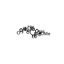 CCC1CCC[C@H](NC(=O)c2cn(-c3cccc(Cl)c3F)nn2)c2cc(cnn2)-c2ccc(NC(=O)OC)cc2NC1=O